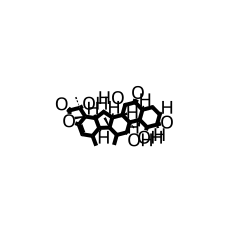 CC1C=C2OC(=O)[C@@](C)(O)[C@]2(C)[C@@H]2C[C@H]3[C@@H]4[C@@H](O)C(=O)[C@H]5C[C@@H]6O[C@@H]6C(O)[C@]5(C)[C@H]4C(O)C(C)[C@]3(C)[C@@H]12